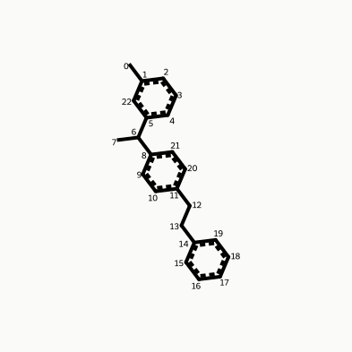 Cc1cccc(C(C)c2ccc(CCc3ccccc3)cc2)c1